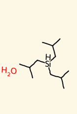 CC(C)C[SiH](CC(C)C)CC(C)C.O